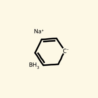 B.C1=C[CH-]CC=C1.[Na+]